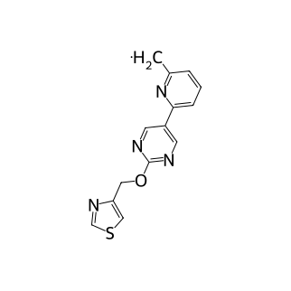 [CH2]c1cccc(-c2cnc(OCc3cscn3)nc2)n1